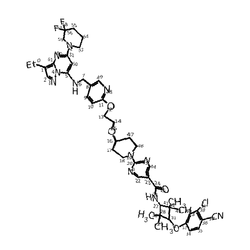 CCc1cnn2c(NCc3ccc(OCCOC4CCN(c5ncc(C(=O)NC6C(C)(C)C(Oc7ccc(C#N)c(Cl)c7)C6(C)C)cn5)CC4)nc3)cc(N3CCCC(F)(F)C3)nc12